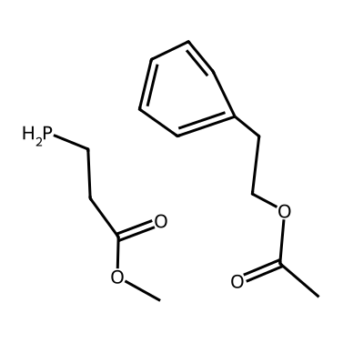 CC(=O)OCCc1ccccc1.COC(=O)CCP